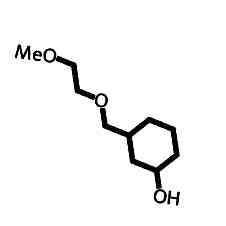 COCCOCC1CCCC(O)C1